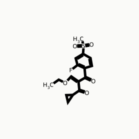 CCOC=C(C(=O)c1ccc(S(C)(=O)=O)cc1F)C(=O)C1CC1